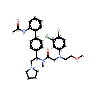 COCCN(CC(=O)N(C)C(CN1CCCC1)c1ccc(-c2ccccc2NC(C)=O)cc1)c1ccc(Cl)c(Cl)c1